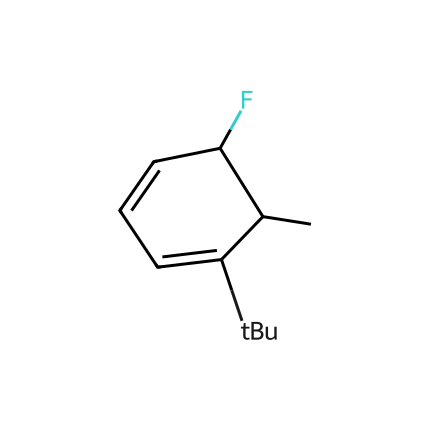 CC1C(C(C)(C)C)=CC=CC1F